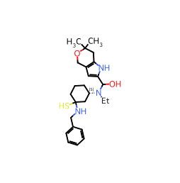 CCN(C(O)c1cc2c([nH]1)CC(C)(C)OC2)[C@H]1CCCC(S)(NCc2ccccc2)C1